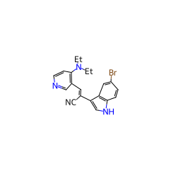 CCN(CC)c1ccncc1C=C(C#N)c1c[nH]c2ccc(Br)cc12